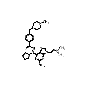 CN(C)CCn1cnc2c(N(NC(=O)c3ccc(CN4CCN(C)CC4)cc3)C3CCCC3)nc(N)nc21